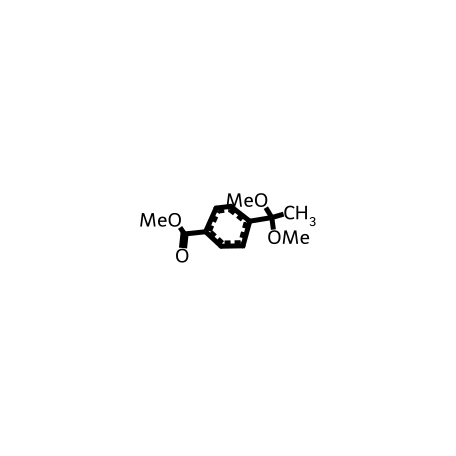 COC(=O)c1ccc(C(C)(OC)OC)cc1